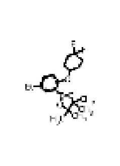 CCc1ccc(OC2CCC(F)(F)CC2)c(B2OC(C)(C)C(C)(C)O2)c1